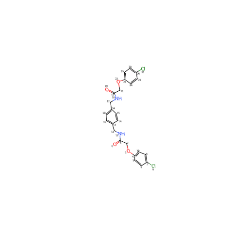 O=C(COc1ccc(Cl)cc1)NCc1ccc(CNC(=O)COc2ccc(Cl)cc2)cc1